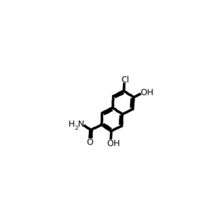 NC(=O)c1cc2cc(Cl)c(O)cc2cc1O